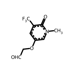 Cn1cc(OCC=O)cc(C(F)(F)F)c1=O